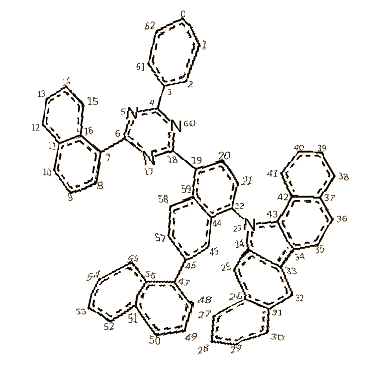 c1ccc(-c2nc(-c3cccc4ccccc34)nc(-c3ccc(-n4c5cc6ccccc6cc5c5ccc6ccccc6c54)c4cc(-c5cccc6ccccc56)ccc34)n2)cc1